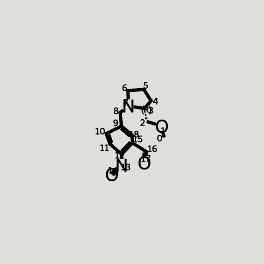 COC[C@H]1CCCN1Cc1ccc(N=O)c(C=O)c1